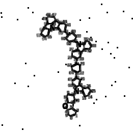 c1ccc2c(c1)oc1ccc(-n3c4ccccc4c4cc(-c5ccc(-c6ccc7c(c6)c6ccccc6n7-c6ccc(-c7ccc8c9cccc%10c%11ccccc%11n(c8c7)c%109)cc6)cc5)ccc43)cc12